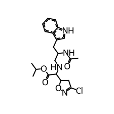 CC(=O)NC(CNC(C(=O)OC(C)C)C1CC(Cl)=NO1)Cc1c[nH]c2ccccc12